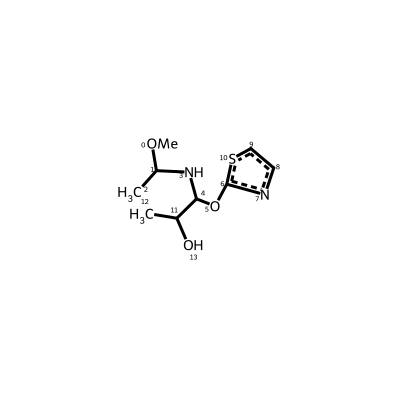 COC(C)NC(Oc1nccs1)C(C)O